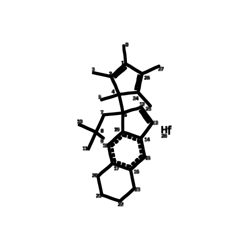 CC1=C(C)C(C)(C2(CC(C)(C)C)C=Cc3cc4c(cc32)CCCC4)C(C)=C1C.[Hf]